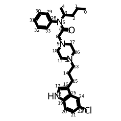 CCCC(C)N(C(=O)CN1CCN(CCCc2c[nH]c3ccc(Cl)cc23)CC1)c1ccccc1